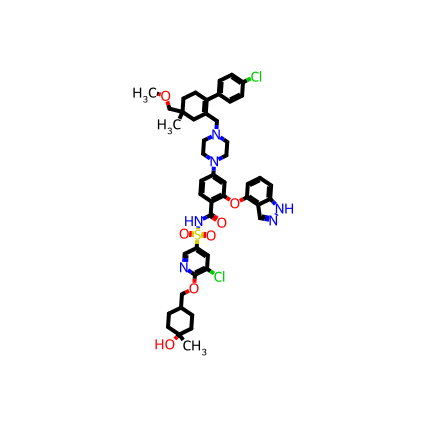 COCC1(C)CCC(c2ccc(Cl)cc2)=C(CN2CCN(c3ccc(C(=O)NS(=O)(=O)c4cnc(OCC5CCC(C)(O)CC5)c(Cl)c4)c(Oc4cccc5[nH]ncc45)c3)CC2)C1